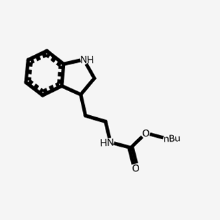 CCCCOC(=O)NCCC1CNc2ccccc21